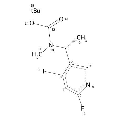 C[C@H](c1cnc(F)cc1I)N(C)C(=O)OC(C)(C)C